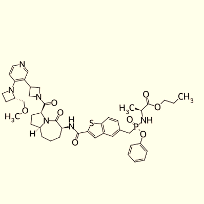 CCCOC(=O)[C@H](C)NP(=O)(Cc1ccc2sc(C(=O)N[C@H]3CCC[C@H]4CC[C@@H](C(=O)N5CC(c6cnccc6N6CC[C@H]6COC)C5)N4C3=O)cc2c1)Oc1ccccc1